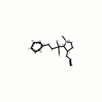 C=CCC1CCN(C)C1C(C)(C)CCc1ccccc1